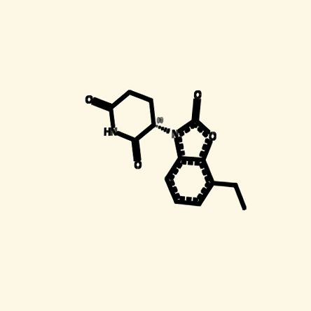 CCc1cccc2c1oc(=O)n2[C@H]1CCC(=O)NC1=O